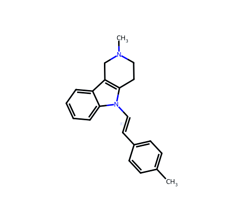 Cc1ccc(/C=C/n2c3c(c4ccccc42)CN(C)CC3)cc1